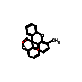 Cc1cccc2c1Oc1ccccc1C21c2ccccc2Oc2ccccc21